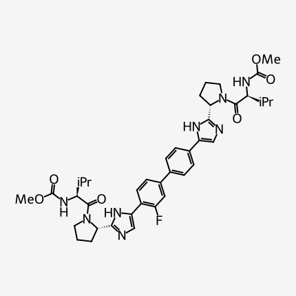 COC(=O)N[C@H](C(=O)N1CCC[C@H]1c1ncc(-c2ccc(-c3ccc(-c4cnc([C@@H]5CCCN5C(=O)[C@@H](NC(=O)OC)C(C)C)[nH]4)c(F)c3)cc2)[nH]1)C(C)C